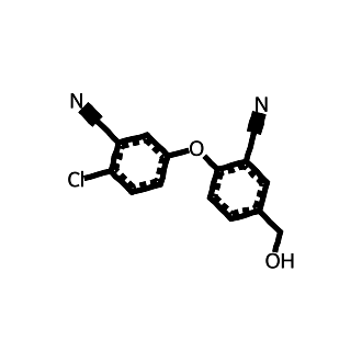 N#Cc1cc(Oc2ccc(CO)cc2C#N)ccc1Cl